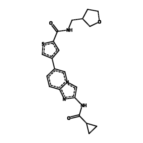 O=C(NCC1CCOC1)c1cc(-c2ccc3nc(NC(=O)C4CC4)cn3c2)cs1